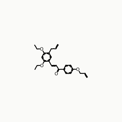 C=CCOc1ccc(C(=O)C=Cc2cc(CC=C)c(OCC)cc2OCC)cc1